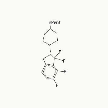 CCCCCC1CCC(C2Cc3ccc(F)c(F)c3C2(F)F)CC1